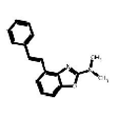 CN(C)c1nc2c(C=Cc3ccccc3)cccc2o1